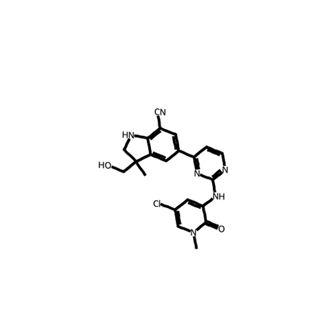 Cn1cc(Cl)cc(Nc2nccc(-c3cc(C#N)c4c(c3)C(C)(CO)CN4)n2)c1=O